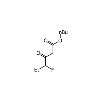 CCCCOC(=O)CC(=O)C(F)CC